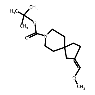 COC=C1CCC2(CCN(C(=O)OC(C)(C)C)CC2)C1